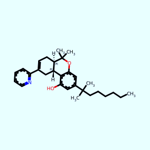 CCCCCCC(C)(C)c1cc(O)c2c(c1)OC(C)(C)[C@@H]1CC=C(c3ccccn3)C[C@@H]21